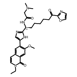 CCn1ccc2cc(-c3cnc([C@H](CCCCCC(=O)c4ncco4)NC(=O)CN(C)C)[nH]3)c(OC)cc2c1=O